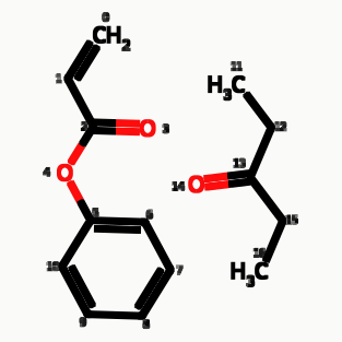 C=CC(=O)Oc1ccccc1.CCC(=O)CC